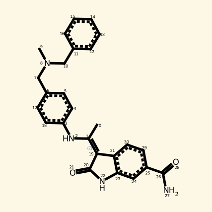 C/C(Nc1ccc(CN(C)Cc2ccccc2)cc1)=C1/C(=O)Nc2cc(C(N)=O)ccc21